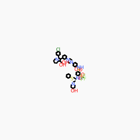 O=S(=O)(Nc1ccc(N2CCN(c3cccc(-c4c(C(O)O)c5n(c4-c4ccc(Cl)cc4)CCCC5)c3)CC2)cc1)c1ccc(N[C@H](CCN2CCC(O)CC2)CSc2ccccc2)c(S(=O)(=O)C(F)(F)F)c1